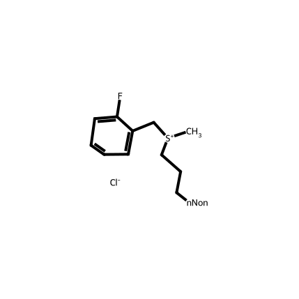 CCCCCCCCCCCC[S+](C)Cc1ccccc1F.[Cl-]